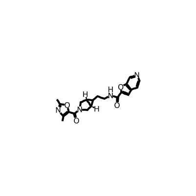 Cc1nc(C)c(C(=O)N2C[C@@H]3C(CCNC(=O)c4cc5ccncc5o4)[C@@H]3C2)o1